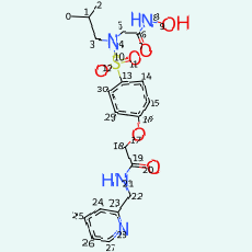 CC(C)CN(CC(=O)NO)S(=O)(=O)c1ccc(OCC(=O)NCc2ccccn2)cc1